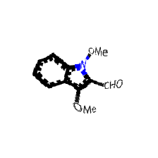 COc1c(C=O)n(OC)c2ccccc12